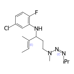 C/C=C(\C)C(CCN(C)/N=N\C(C)C)Nc1cc(Cl)ccc1F